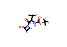 CC(C)C(NC(=O)OC(C)(C)C)C(=O)N1CC[C@@H]1O